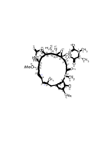 CCC(=O)N(C)[C@H](C)C(=O)O[C@@H]1CC(=O)N(C)c2cc(cc(OC)c2Cl)C/C(C)=C/C=C/[C@H](OC)[C@]2(O)C[C@@H](OC(=O)N2)[C@H](C)[C@H]2O[C@@]21C